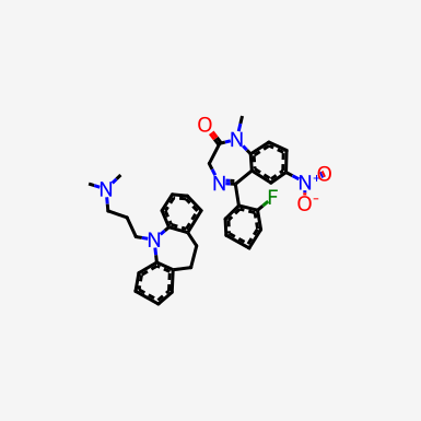 CN(C)CCCN1c2ccccc2CCc2ccccc21.CN1C(=O)CN=C(c2ccccc2F)c2cc([N+](=O)[O-])ccc21